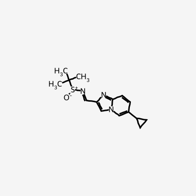 CC(C)(C)[S@@+]([O-])N=Cc1cn2cc(C3CC3)ccc2n1